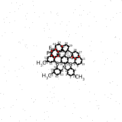 Cc1ccc2c(c1)B1c3ccccc3Sc3c1c1c4c(c3-c3c(-c5ccccc5)cccc3-c3ccccc3)N(c3ccccc3C(F)(F)F)c3ccc(C)cc3B4c3cc(C)ccc3N21